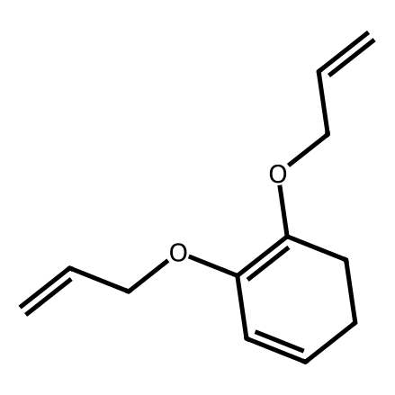 C=CCOC1=C(OCC=C)CCC=C1